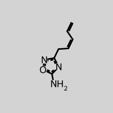 C=C/C=C\Cc1noc(N)n1